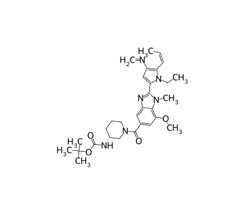 C=Nc1cc(-c2nc3cc(C(=O)N4CCC[C@@H](NC(=O)OC(C)(C)C)C4)cc(OC)c3n2C)n(CC)c1/C=C\C